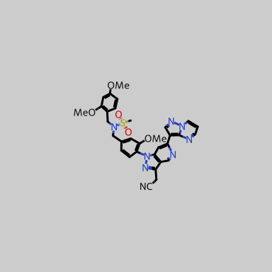 COc1ccc(CN(Cc2ccc(-n3nc(CC#N)c4cnc(-c5cnn6cccnc56)cc43)c(OC)c2)S(C)(=O)=O)c(OC)c1